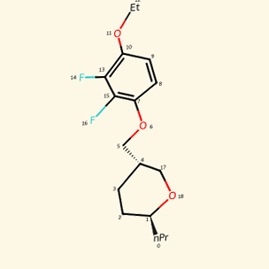 CCC[C@H]1CC[C@H](COc2ccc(OCC)c(F)c2F)CO1